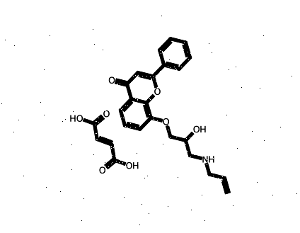 C=CCNCC(O)COc1cccc2c(=O)cc(-c3ccccc3)oc12.O=C(O)C=CC(=O)O